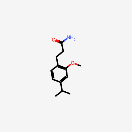 COc1cc(C(C)C)ccc1CCC(N)=O